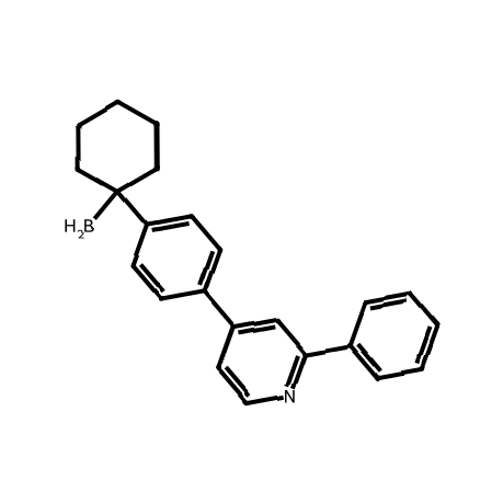 BC1(c2ccc(-c3ccnc(-c4ccccc4)c3)cc2)CCCCC1